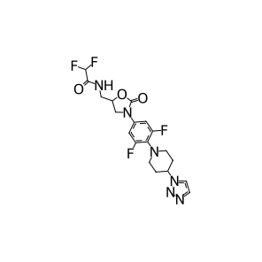 O=C(NCC1CN(c2cc(F)c(N3CCC(n4ccnn4)CC3)c(F)c2)C(=O)O1)C(F)F